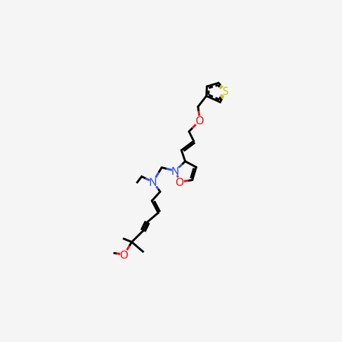 CCN(CC=CC#CC(C)(C)OC)CN1OC=CC1C=CCOCc1ccsc1